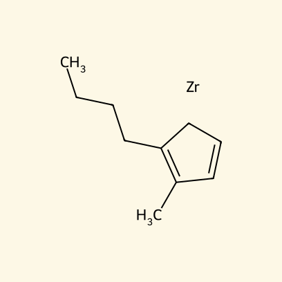 CCCCC1=C(C)C=CC1.[Zr]